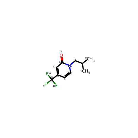 CC(C)Cn1ccc(C(F)(F)F)cc1=O